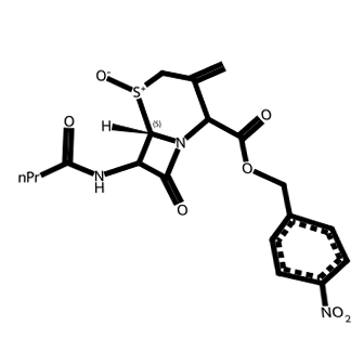 C=C1C[S+]([O-])[C@H]2C(NC(=O)CCC)C(=O)N2C1C(=O)OCc1ccc([N+](=O)[O-])cc1